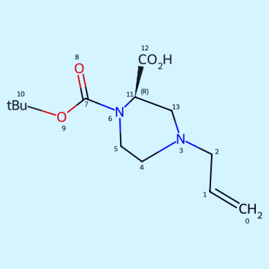 C=CCN1CCN(C(=O)OC(C)(C)C)[C@@H](C(=O)O)C1